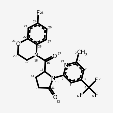 Cc1cc(C(F)(F)F)cc(N2C(=O)CCC2C(=O)N2CCOc3cc(F)ccc32)n1